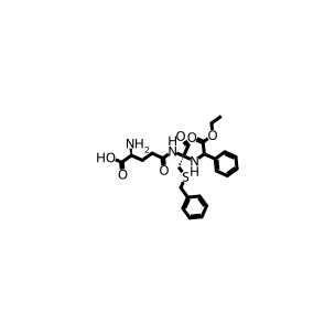 CCOC(=O)C(N[C@@](C=O)(CSCc1ccccc1)NC(=O)CC[C@H](N)C(=O)O)c1ccccc1